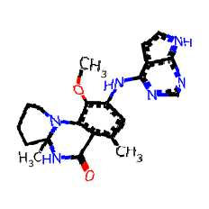 COc1c(Nc2ncnc3[nH]ccc23)cc(C)c2c1N1CCCCC1(C)NC2=O